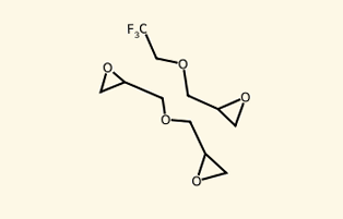 C(OCC1CO1)C1CO1.FC(F)(F)COCC1CO1